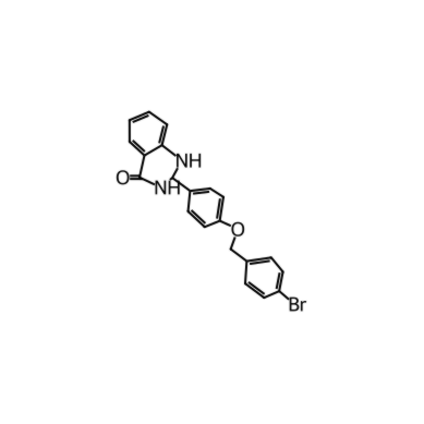 O=C1NC(c2ccc(OCc3ccc(Br)cc3)cc2)Nc2ccccc21